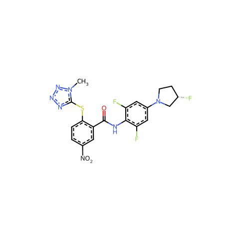 Cn1nnnc1Sc1ccc([N+](=O)[O-])cc1C(=O)Nc1c(F)cc(N2CC[C@H](F)C2)cc1F